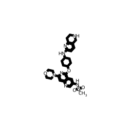 CS(=O)(=O)Nc1cnc2cc(N3CCOCC3)nc(OC3CCC(Nc4ccc5c(n4)CCNC5)CC3)c2c1